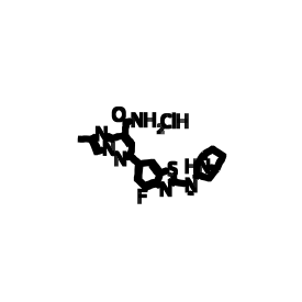 Cc1cn2nc(-c3cc(F)c4nc(N(C)C5CC6CCC(C5)N6)sc4c3)cc(C(N)=O)c2n1.Cl